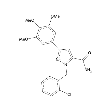 COc1cc(-c2cc(C(N)=O)n(Cc3ccccc3Cl)n2)cc(OC)c1OC